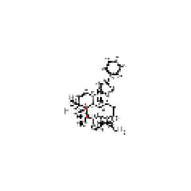 C=C1C(=O)[C@]23[C@H](O)[C@H]1CC[C@H]2[C@@]12CO[C@]3(O)[C@@H](O)[C@@H]1C(C)(C)C=C[C@@H]2n1cc(-c2ccccc2)nn1